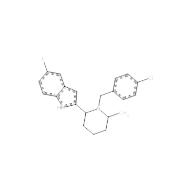 CC1CCCC(c2cc3cc(F)ccc3[nH]2)N1Cc1ccc(Cl)cc1